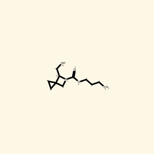 CCCCOC(=O)N1CC2(CC2)C1CO